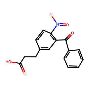 O=C(O)CCc1ccc([N+](=O)[O-])c(C(=O)c2ccccc2)c1